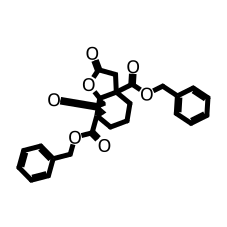 O=C1CC2(C(=O)OCc3ccccc3)CCCC3(C(=O)OCc4ccccc4)CC(=O)O[C@@]23C1